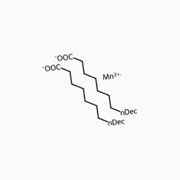 CCCCCCCCCCCCCCCCC(=O)[O-].CCCCCCCCCCCCCCCCC(=O)[O-].[Mn+2]